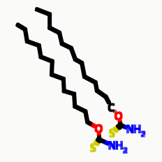 CCCCCCCCCCCCCOC(N)=S.CCCCCCCCCCCCCOC(N)=S